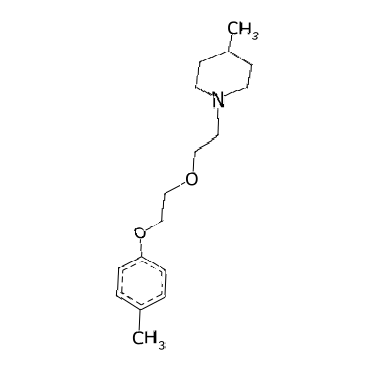 Cc1ccc(OCCOCCN2CCC(C)CC2)cc1